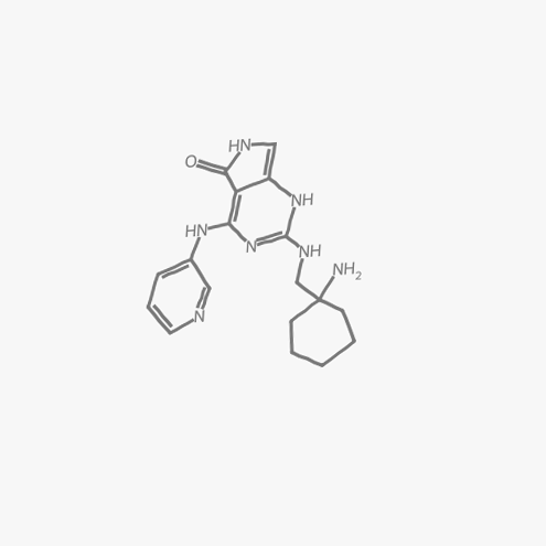 NC1(CNc2nc(Nc3cccnc3)c3c(=O)[nH]cc-3[nH]2)CCCCC1